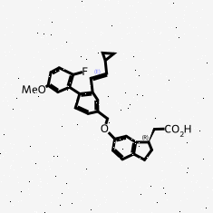 COc1ccc(F)c(-c2ccc(COc3ccc4c(c3)[C@@H](CC(=O)O)CC4)cc2/C=C/C2CC2)c1